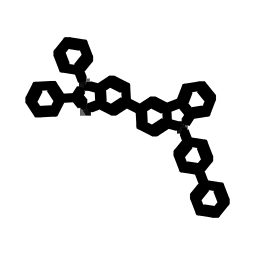 c1ccc(-c2ccc(-n3c4ccccc4c4cc(-c5ccc6c(c5)nc(-c5ccccc5)n6-c5ccccc5)ccc43)cc2)cc1